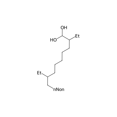 CCCCCCCCCCC(CC)CCCCCC(CC)C(O)O